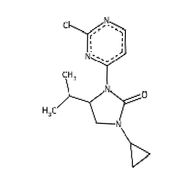 CC(C)C1CN(C2CC2)C(=O)N1c1ccnc(Cl)n1